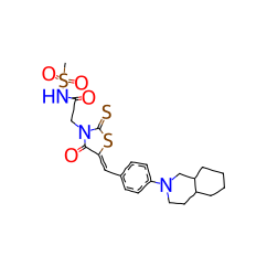 CS(=O)(=O)NC(=O)CN1C(=O)C(=Cc2ccc(N3CCC4CCCCC4C3)cc2)SC1=S